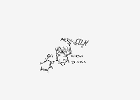 O=C[C@H](OC(=O)c1ccccc1O)[C@@H](O)[C@@H](O)[C@H](O)C(=O)O